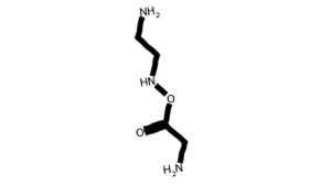 NCCNOC(=O)CN